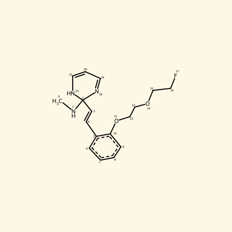 CNC1(C=Cc2ccccc2OCCOCCF)N=CC=CN1